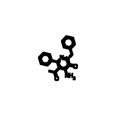 CC(=O)c1c(-c2ccccc2)nn(Cc2ccccc2)c(=O)c1N